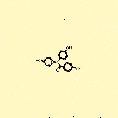 CCCc1ccc(C(=O)N(c2ccc(O)cc2)c2ccc(O)cc2)cc1